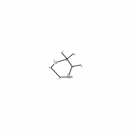 CC1NCCOC1(C)C